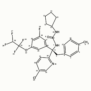 Cc1ccc(C[C@](NC(=O)NC2CCCC2)(c2cc(F)cc(OC(F)(F)C(F)F)c2)c2ccc(Cl)cn2)cc1